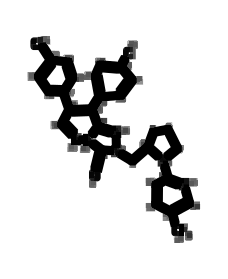 O=c1n(CC2CCCN2c2ccc(C(F)(F)F)cn2)nc2c(-c3ccc(Cl)cc3)c(-c3ccc(Cl)cc3)cnn12